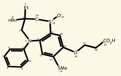 CCCCC1(CC)CN(c2ccccc2)c2cc(SC)c(OCCC(=O)O)cc2[S+]([O-])C1